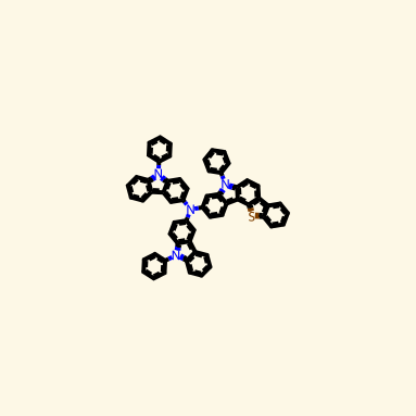 c1ccc(-n2c3ccccc3c3cc(N(c4ccc5c(c4)c4ccccc4n5-c4ccccc4)c4ccc5c6c7sc8ccccc8c7ccc6n(-c6ccccc6)c5c4)ccc32)cc1